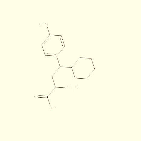 CCCC(=O)C(CC(c1ccc(N)cc1)C1CCCCC1)C(=O)O